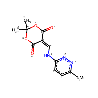 CNc1ccc(NC=C2C(=O)OC(C)(C)OC2=O)nn1